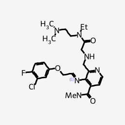 CCN(CCN(C)C)C(=O)CNCc1nccc(C(=O)NC)c1/N=C/COc1ccc(F)c(Cl)c1